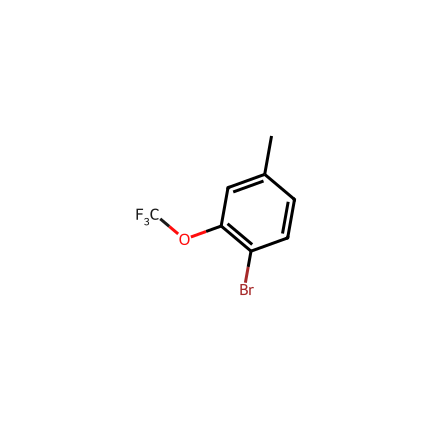 Cc1ccc(Br)c(OC(F)(F)F)c1